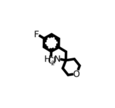 NC1(Cc2ccc(F)cc2Cl)CCOCC1